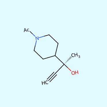 C#C[C@](C)(O)C1CCN(C(C)=O)CC1